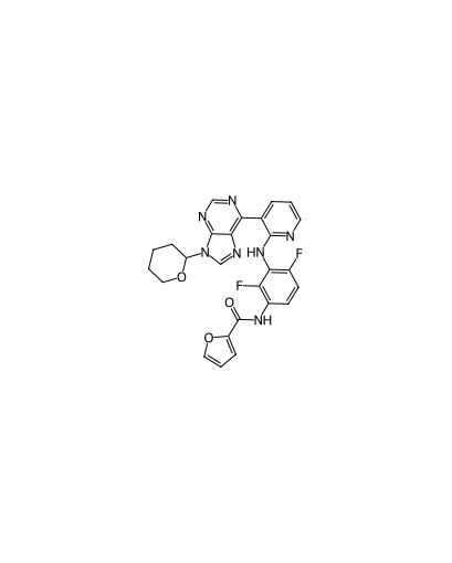 O=C(Nc1ccc(F)c(Nc2ncccc2-c2ncnc3c2ncn3C2CCCCO2)c1F)c1ccco1